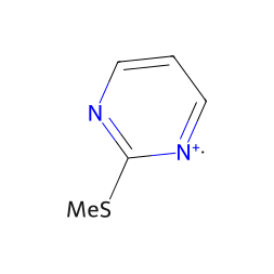 CSC1=NC=CC=[N+]1